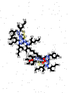 CCCCC(CC)CN(CC(CC)CCCC)CN(CN(CC(CC)CCCC)CC(CC)CCCCCCCCC(CC)CN(CC(CC)CCCC)CN(CN(CC(CC)CCCC)CC(CC)CCCC)c1nn(CN(CC(CC)CCCC)CC(CC)CCCC)c(=S)s1)c1nn(CN(CC(CC)CCCC)CC(CC)CCCC)c(=S)s1